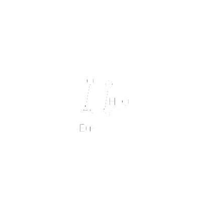 CC(=O)[O-].CC(=O)[O-].O.[Eu+2]